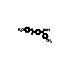 Cc1ccc(OC(=O)c2ccc(C(OO)c3ccc(C)cc3)cc2)cc1